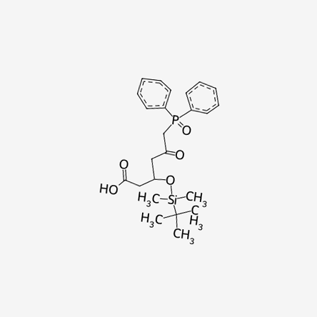 CC(C)(C)[Si](C)(C)OC(CC(=O)O)CC(=O)CP(=O)(c1ccccc1)c1ccccc1